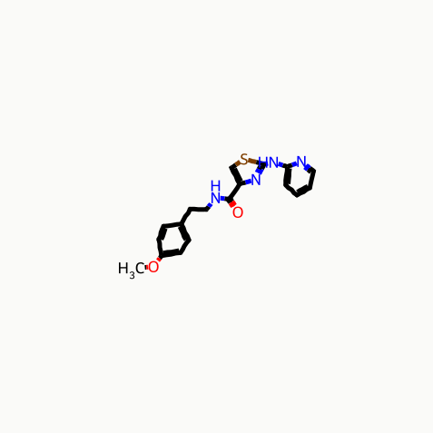 COc1ccc(CCNC(=O)c2csc(Nc3ccccn3)n2)cc1